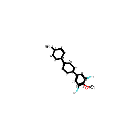 CCCC1CCC(C2CCC(c3cc(F)c(OCC)c(F)c3)CC2)CC1